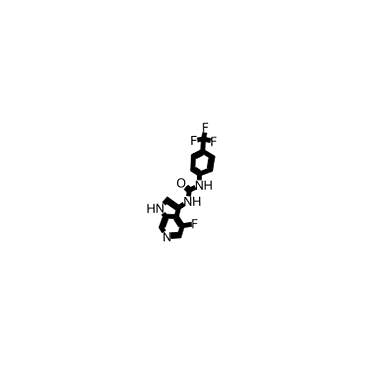 O=C(Nc1ccc(C(F)(F)F)cc1)Nc1c[nH]c2cncc(F)c12